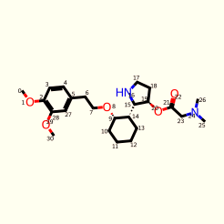 COc1ccc(CCO[C@H]2CCCC[C@H]2C2NCC[C@H]2OC(=O)CN(C)C)cc1OC